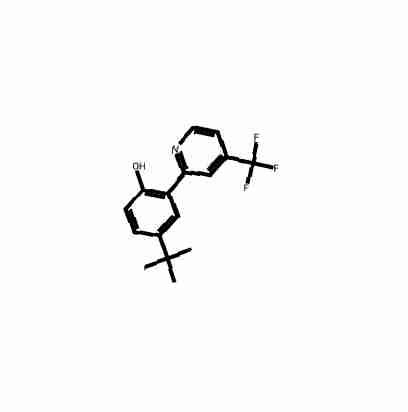 CC(C)(C)c1ccc(O)c(-c2cc(C(F)(F)F)ccn2)c1